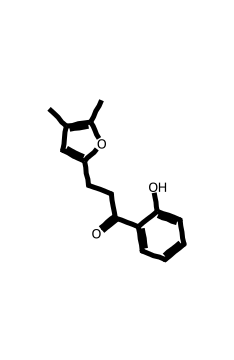 Cc1cc(CCC(=O)c2ccccc2O)oc1C